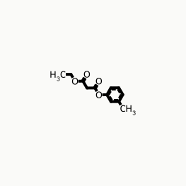 CCOC(=O)CC(=O)Oc1cccc(C)c1